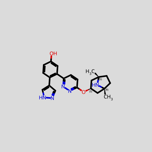 C[C@]12CC[C@](C)(C[C@@H](Oc3ccc(-c4cc(O)ccc4-c4cn[nH]c4)nn3)C1)N2